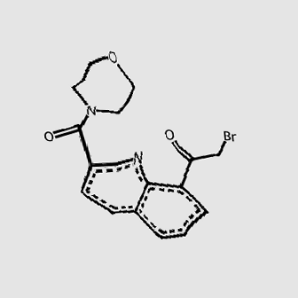 O=C(CBr)c1cccc2ccc(C(=O)N3CCOCC3)nc12